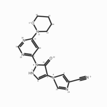 N#Cc1cn(-c2c[nH]n(-c3cc(N4CCCCO4)ncn3)c2=O)cn1